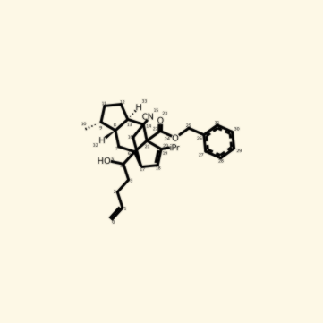 C=CCCC(O)C12C[C@@H]3[C@H](C)CC[C@H]3C3(C#N)CC1C=C(C(C)C)C23C(=O)OCc1ccccc1